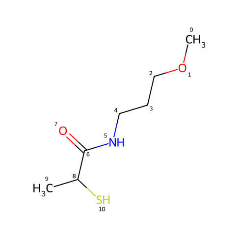 COCCCNC(=O)C(C)S